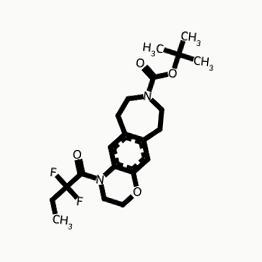 CCC(F)(F)C(=O)N1CCOc2cc3c(cc21)CCN(C(=O)OC(C)(C)C)CC3